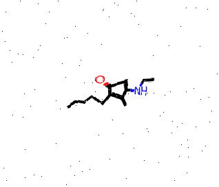 CCCCCC1=C(C)C(NCC)CC1=O